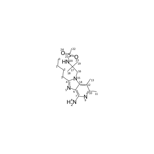 CCCCc1nc2c(N)nc(C)c(C)c2n1CC(C)(C)NS(C)(=O)=O